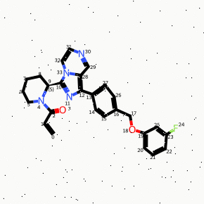 C=CC(=O)N1CCCC[C@H]1c1nc(-c2ccc(COc3cccc(F)c3)cc2)c2cnccn12